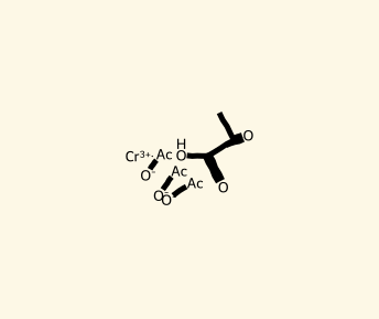 CC(=O)C(=O)O.CC(=O)[O-].CC(=O)[O-].CC(=O)[O-].[Cr+3]